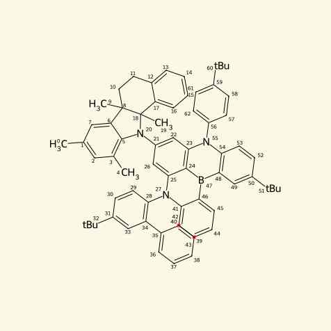 Cc1cc(C)c2c(c1)C1(C)CCc3ccccc3C1(C)N2c1cc2c3c(c1)N(c1ccc(C(C)(C)C)cc1-c1ccccc1)c1ccccc1B3c1cc(C(C)(C)C)ccc1N2c1ccc(C(C)(C)C)cc1